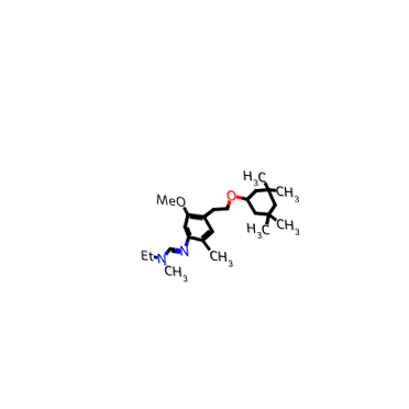 CCN(C)/C=N/c1cc(OC)c(CCOC2CC(C)(C)CC(C)(C)C2)cc1C